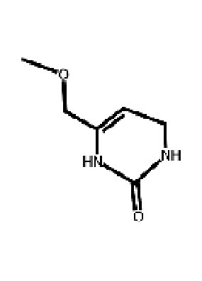 COCC1=CCNC(=O)N1